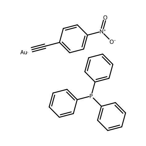 C#Cc1ccc([N+](=O)[O-])cc1.[Au].c1ccc(P(c2ccccc2)c2ccccc2)cc1